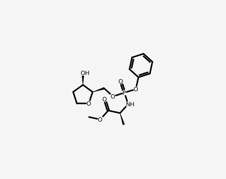 COC(=O)[C@H](C)NP(=O)(OC[C@H]1OCC[C@H]1O)Oc1ccccc1